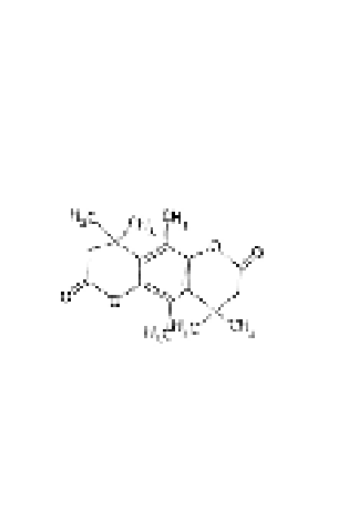 Cc1c2c(c(C)c3c1C(C)(C)CC(=O)O3)C(C)(C)CC(=O)O2